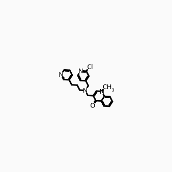 Cn1cc(CN(CCCc2cccnc2)Cc2ccnc(Cl)c2)c(=O)c2ccccc21